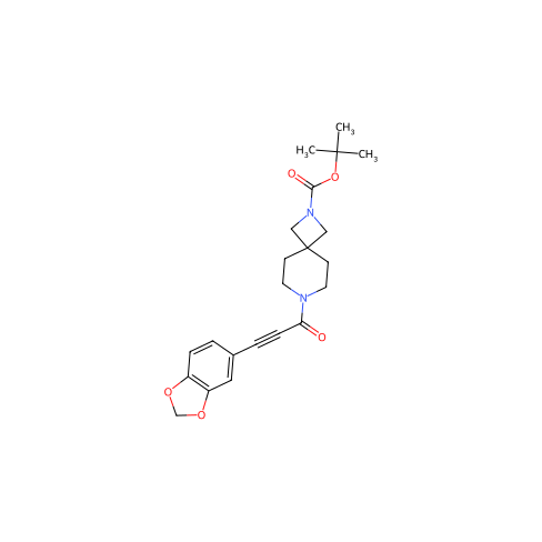 CC(C)(C)OC(=O)N1CC2(CCN(C(=O)C#Cc3ccc4c(c3)OCO4)CC2)C1